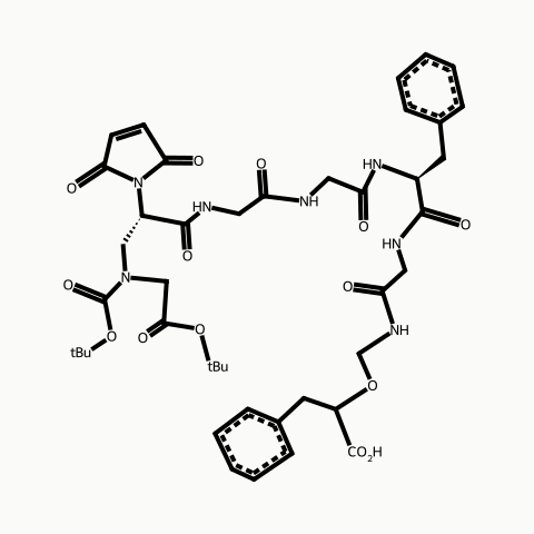 CC(C)(C)OC(=O)CN(C[C@@H](C(=O)NCC(=O)NCC(=O)N[C@@H](Cc1ccccc1)C(=O)NCC(=O)NCOC(Cc1ccccc1)C(=O)O)N1C(=O)C=CC1=O)C(=O)OC(C)(C)C